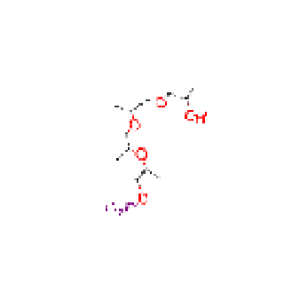 CC(O)COCC(C)OCC(C)OC(C)COP